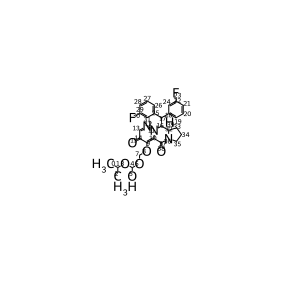 CC(C)OC(O)OCOc1c2n(ncc1=O)[C@@H](C(c1cccc(F)c1)c1cccc(F)c1)[C@H]1CCCN1C2=O